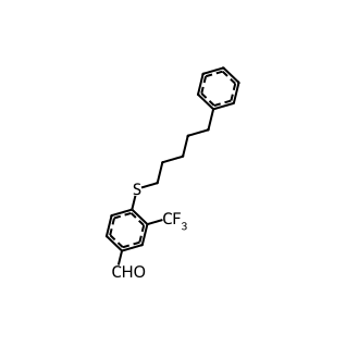 O=Cc1ccc(SCCCCCc2ccccc2)c(C(F)(F)F)c1